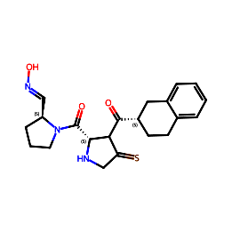 O=C(C1C(=S)CN[C@@H]1C(=O)N1CCC[C@H]1C=NO)[C@H]1CCc2ccccc2C1